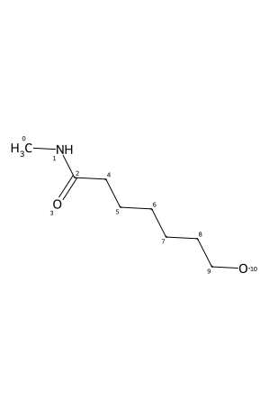 CNC(=O)CCCCCC[O]